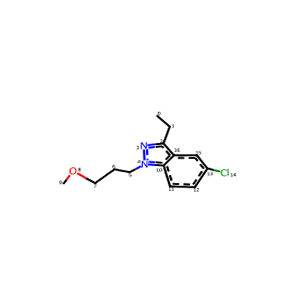 CCc1nn(CCCOC)c2ccc(Cl)cc12